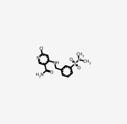 CN(C)S(=O)(=O)c1cccc(CNc2cc(Cl)ncc2C(N)=O)c1